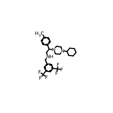 Cc1ccc(C(CNCc2cc(C(F)(F)F)cc(C(F)(F)F)c2)N2CCN(C3CCCCC3)CC2)cc1